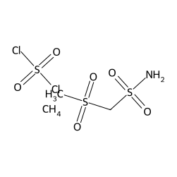 C.CS(=O)(=O)CS(N)(=O)=O.O=S(=O)(Cl)Cl